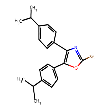 CC(C)c1ccc(-c2nc(S)oc2-c2ccc(C(C)C)cc2)cc1